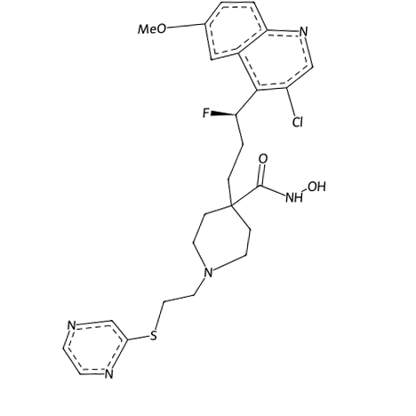 COc1ccc2ncc(Cl)c([C@H](F)CCC3(C(=O)NO)CCN(CCSc4cnccn4)CC3)c2c1